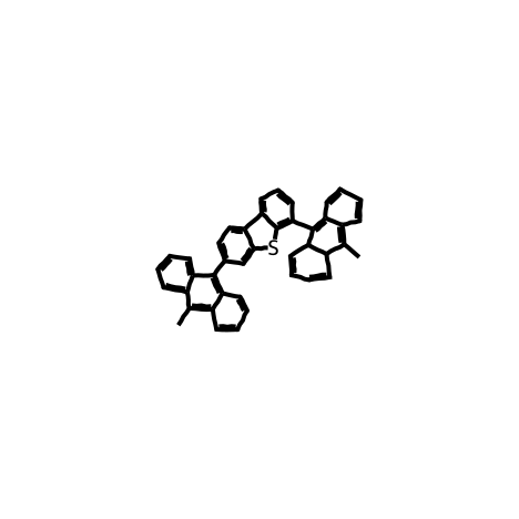 CC1=c2ccccc2=C(c2cccc3c2sc2cc(-c4c5ccccc5c(C)c5ccccc45)ccc23)C2C=CC=CC12